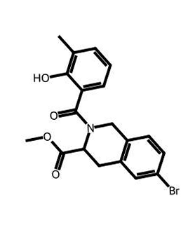 COC(=O)C1Cc2cc(Br)ccc2CN1C(=O)c1cccc(C)c1O